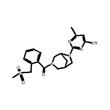 Cc1cc(C#N)nc(N2CC3CC2CN(C(=O)c2ccccc2CS(C)(=O)=O)C3)n1